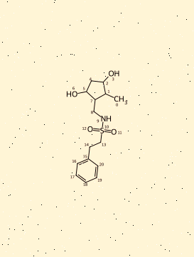 CC1C(O)CC(O)C1CNS(=O)(=O)CCc1ccccc1